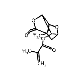 C=C(C)C(=O)OC1C2CC3(C(F)(F)F)C(=O)OC1C3O2